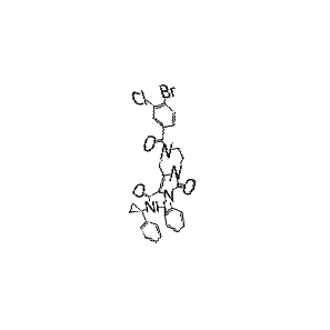 O=C(NC1(c2ccccc2)CC1)c1c2n(c(=O)n1-c1ccccc1)CCN(C(=O)c1ccc(Br)c(Cl)c1)C2